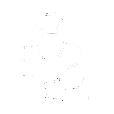 CCCN(Cc1ccc(-c2ccccc2-c2nnn[nH]2)cc1)c1noc(C(=O)O)n1